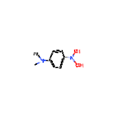 CCN(C)c1ccc(N(O)O)cc1